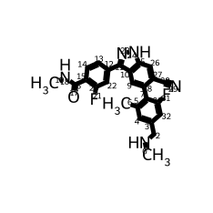 CNCc1cc(C)c(-c2cc3c(-c4ccc(C(=O)NC)c(F)c4)n[nH]c3cc2C#N)c(F)c1